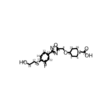 O=C(O)N1CCC(OCc2nc(-c3ccc(SCCO)c(F)c3)no2)CC1